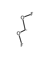 FO[C]OF